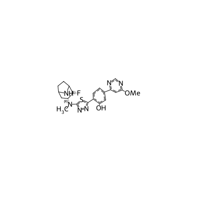 COc1cc(-c2ccc(-c3nnc(N(C)[C@@H]4CC5CCC(N5)[C@@H]4F)s3)c(O)c2)ncn1